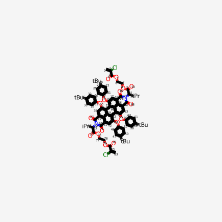 C=C(Cl)C(=O)OCCOC(=O)C(C(C)C)N1C(=O)c2cc(Oc3ccc(C(C)(C)C)cc3)c3c4c(Oc5ccc(C(C)(C)C)cc5)cc5c6c(cc(Oc7ccc(C(C)(C)C)cc7)c(c7c(Oc8ccc(C(C)(C)C)cc8)cc(c2c37)C1=O)c64)C(=O)N(C(C(=O)OCCOC(=O)C(=C)Cl)C(C)C)C5=O